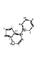 C1=CCN(c2ccoc3cccc2-3)CC1